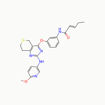 CC/C=C/C(=O)Nc1cccc(Oc2nc(Nc3ccc(OC)nc3)nc3c2CSCC3)c1